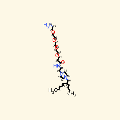 CCCCCC(CCCC)CN1CCN(CCNC(=O)CCOCCOCCOCCOCCN)CC1